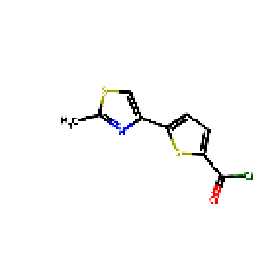 Cc1nc(-c2ccc(C(=O)Cl)s2)cs1